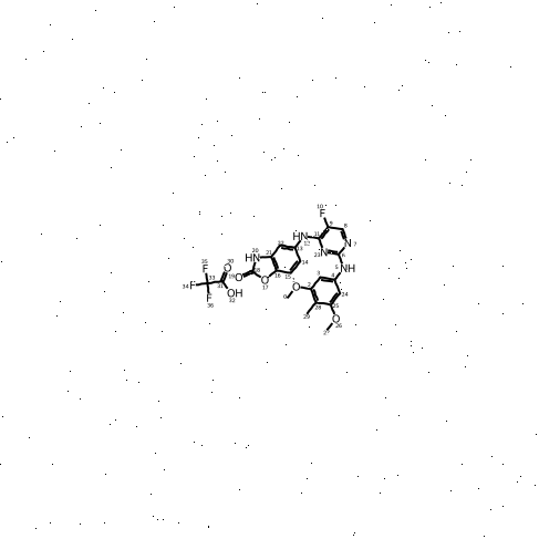 COc1cc(Nc2ncc(F)c(Nc3ccc4oc(=O)[nH]c4c3)n2)cc(OC)c1C.O=C(O)C(F)(F)F